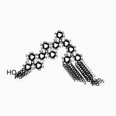 O=C([O-])O.O=C([O-])O.O=C([O-])O.O=C([O-])O.O=C([O-])O.O=C([O-])O.O=C([O-])O.O=C([O-])O.O=C([O-])O.O=C([O-])O.O=C([O-])O.[Na+].[Pd+2].[Pd+2].[Pd+2].[Pd+2].[Pd+2].c1ccc(P(c2ccccc2)c2ccccc2)cc1.c1ccc(P(c2ccccc2)c2ccccc2)cc1.c1ccc(P(c2ccccc2)c2ccccc2)cc1.c1ccc(P(c2ccccc2)c2ccccc2)cc1